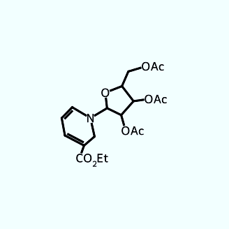 CCOC(=O)C1=CC=CN(C2OC(COC(C)=O)C(OC(C)=O)C2OC(C)=O)C1